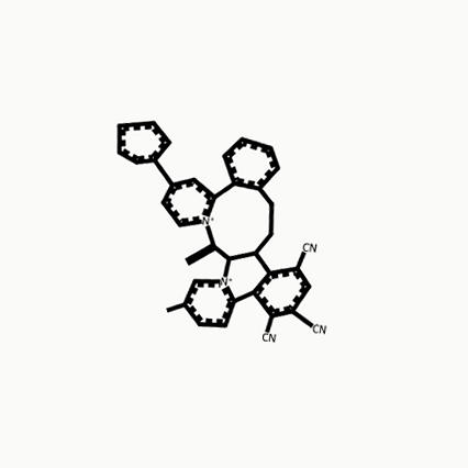 C=C1C2C(CCc3ccccc3-c3cc(-c4ccccc4)cc[n+]31)c1c(C#N)cc(C#N)c(C#N)c1-c1ccc(C)c[n+]12